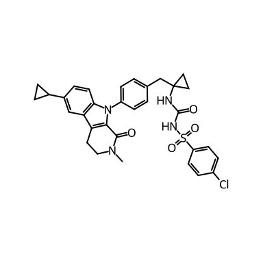 CN1CCc2c(n(-c3ccc(CC4(NC(=O)NS(=O)(=O)c5ccc(Cl)cc5)CC4)cc3)c3ccc(C4CC4)cc23)C1=O